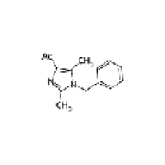 CC(=O)c1nc(C)n(Cc2ccccc2)c1C